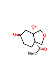 COC(=O)[C@]12CCC(=O)C[C@@]1(O)COC2